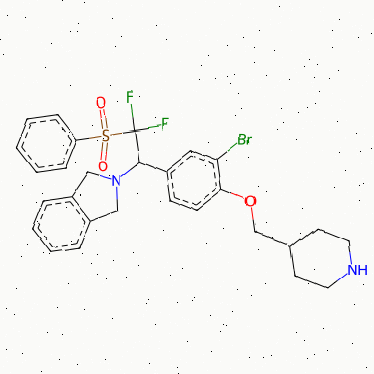 O=S(=O)(c1ccccc1)C(F)(F)C(c1ccc(OCC2CCNCC2)c(Br)c1)N1Cc2ccccc2C1